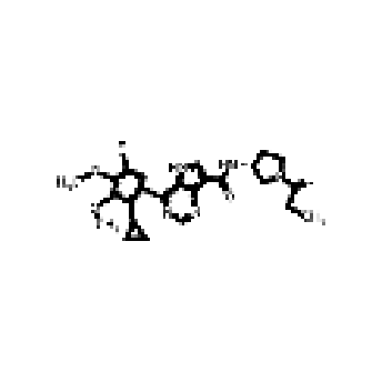 CCC(=O)N1CC[C@@H](NC(=O)c2c[nH]c3c(-c4cc(F)c(OC)c(OC)c4C4CC4)ncnc23)C1